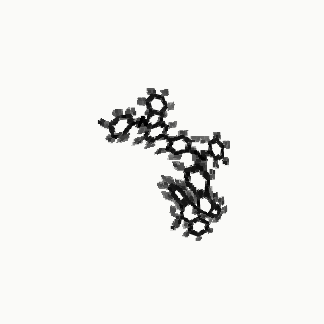 CC1(C)c2ccccc2C2(c3ccccc3-c3cc(N(c4ccccc4)c4ccc(-c5ccc6c(c5)c5ccccc5n6-c5ccccc5)cc4)ccc32)c2ccccc21